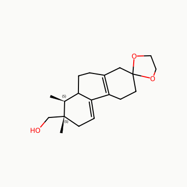 C[C@H]1C2CCC3=C(CCC4(C3)OCCO4)C2=CC[C@]1(C)CO